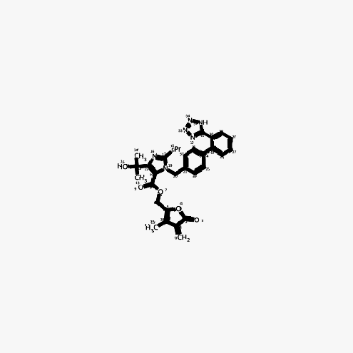 C=C1C(=O)OC(COC(=O)c2c(C(C)(C)O)nc(CCC)n2Cc2ccc(-c3ccccc3-c3nnn[nH]3)cc2)=C1C